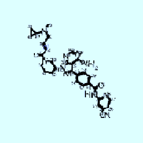 CN(C/C=C/C(=O)N1CCC[C@@H](n2nc(-c3ccc(C(=O)Nc4cc(C#N)ccn4)cc3)c3c(N)ncnc32)C1)C1CC1